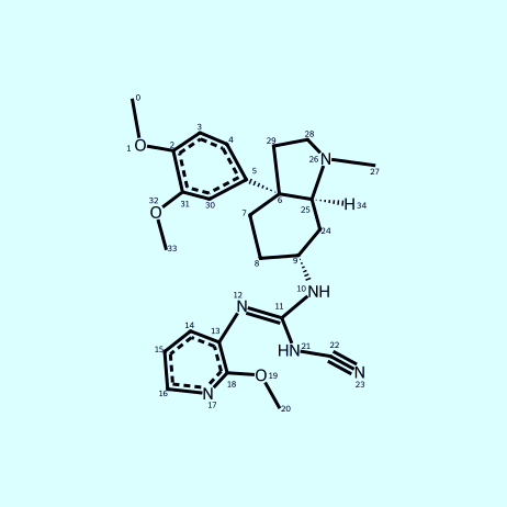 COc1ccc([C@@]23CC[C@@H](NC(=Nc4cccnc4OC)NC#N)C[C@@H]2N(C)CC3)cc1OC